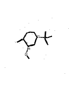 [CH2]C1CC[C@@H](C(C)(C)C)C[C@H]1OC